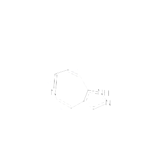 C1=C/c2[nH]ncc2\C=C/N=C\1